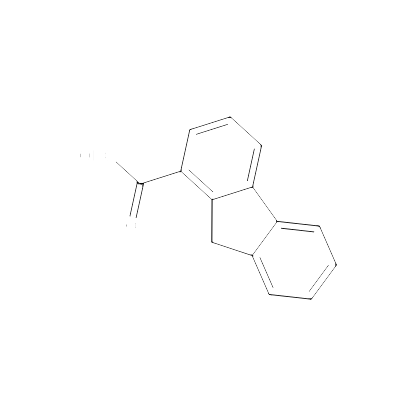 O=CC(=O)c1cccc2c1Cc1ccccc1-2